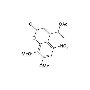 COc1cc([N+](=O)[O-])c2c(C(C)OC(C)=O)cc(=O)oc2c1OC